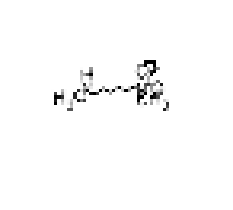 CNCCCCCCN(C)C(=O)c1ccco1